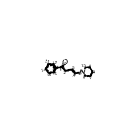 O=C(CCCN1CCCCC1)c1ccccc1